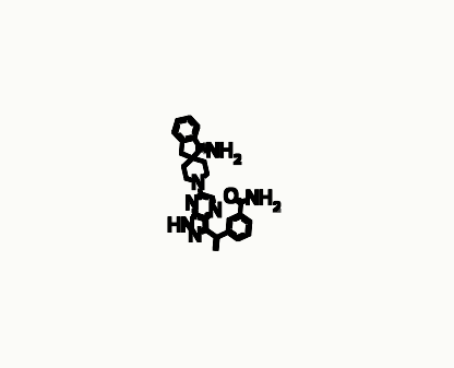 C=C(c1cccc(C(N)=O)c1)c1n[nH]c2nc(N3CCC4(CC3)Cc3ccccc3[C@H]4N)cnc12